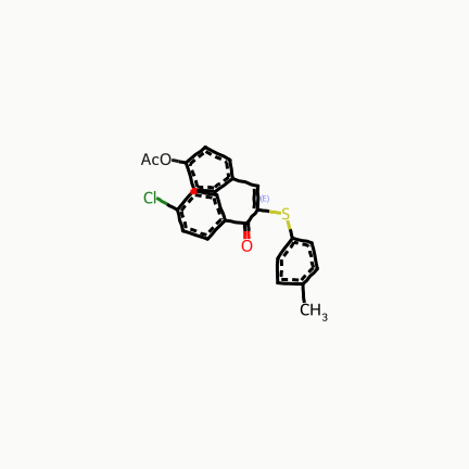 CC(=O)Oc1ccc(/C=C(/Sc2ccc(C)cc2)C(=O)c2ccc(Cl)cc2)cc1